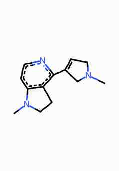 CN1CC=C(c2nccc3c2CCN3C)C1